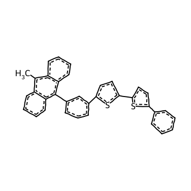 Cc1c2ccccc2c(-c2cccc(-c3ccc(-c4ccc(-c5ccccc5)s4)s3)c2)c2ccccc12